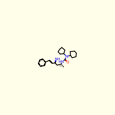 C[C@@H](CC(=N)C=Cc1ccccc1)NC(=O)N(C1CCCCC1)C1CCCCC1